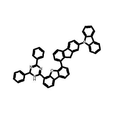 c1ccc(C2=NC(c3ccccc3)NC(c3cccc4c3oc3c(-c5cccc6c5Cc5cc(-n7c8ccccc8c8ccccc87)ccc5-6)cccc34)=N2)cc1